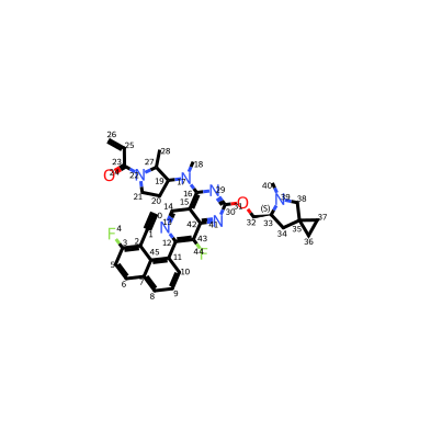 C#Cc1c(F)ccc2cccc(-c3ncc4c(N(C)C5CCN(C(=O)C=C)C5C)nc(OC[C@@H]5CC6(CC6)CN5C)nc4c3F)c12